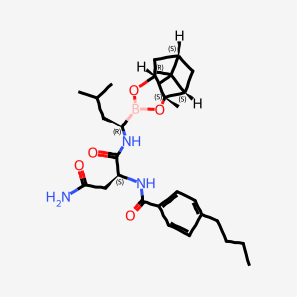 CCCCc1ccc(C(=O)N[C@@H](CC(N)=O)C(=O)N[C@@H](CC(C)C)B2O[C@@H]3C[C@@H]4C[C@@H](C4(C)C)[C@]3(C)O2)cc1